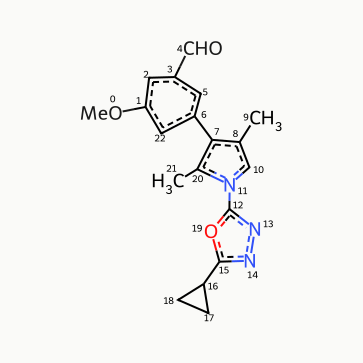 COc1cc(C=O)cc(-c2c(C)cn(-c3nnc(C4CC4)o3)c2C)c1